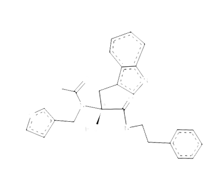 C[C@@](Cc1c[nH]c2ccccc12)(C(=O)NCCc1ccccc1)N(Cc1ccoc1)C(=O)O